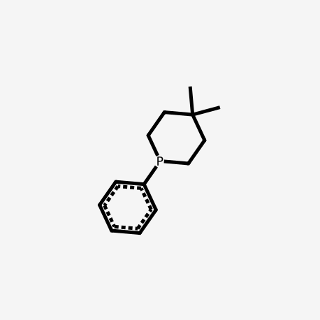 CC1(C)CCP(c2ccccc2)CC1